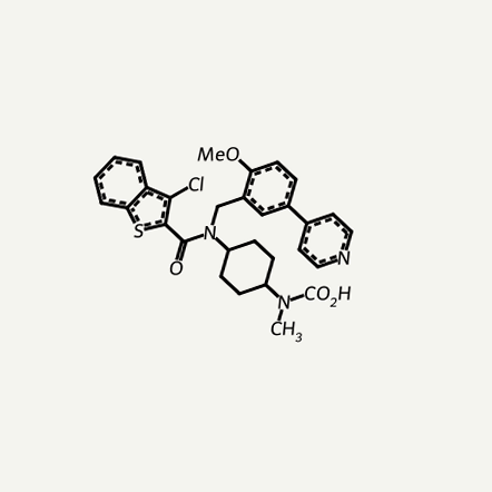 COc1ccc(-c2ccncc2)cc1CN(C(=O)c1sc2ccccc2c1Cl)C1CCC(N(C)C(=O)O)CC1